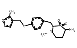 Cc1oncc1COc1ccc(CN2[C@@H](C)CCC(N)S2(=O)=O)cc1